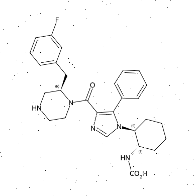 O=C(O)N[C@H]1CCCC[C@@H]1n1cnc(C(=O)N2CCNC[C@H]2Cc2cccc(F)c2)c1-c1ccccc1